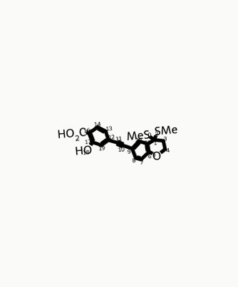 CSC1(SC)CCOc2ccc(C#Cc3ccc(C(=O)O)c(O)c3)cc21